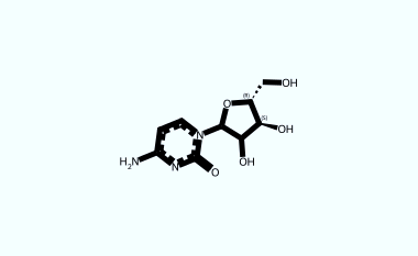 Nc1ccn(C2O[C@H](CO)[C@@H](O)C2O)c(=O)n1